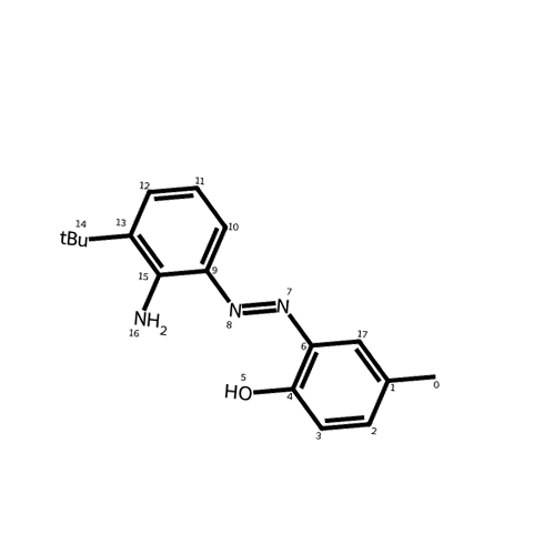 Cc1ccc(O)c(/N=N/c2cccc(C(C)(C)C)c2N)c1